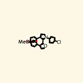 COc1ccc(-c2ccoc2-c2c(-c3ccc(OC)cc3)ccn2-c2ccc(Cl)cc2)cc1